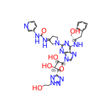 O=C(Nc1cccnc1)N[C@@H]1CCN(c2nc(N[C@H](CO)Cc3ccccc3)c3ncn([C@@H]4O[C@H](c5nnn(CCO)n5)[C@@H](O)[C@@H]4O)c3n2)C1